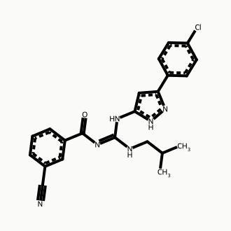 CC(C)CN/C(=N/C(=O)c1cccc(C#N)c1)Nc1cc(-c2ccc(Cl)cc2)n[nH]1